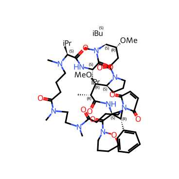 CC[C@H](C)[C@@H]([C@@H](CC(=O)N1CCC[C@H]1[C@H](OC)[C@@H](C)C(=O)N[C@@]1(C(=O)N2CCCCO2)C[C@@H]1c1ccccc1)OC)N(C)C(=O)[C@@H](NC(=O)[C@H](C(C)C)N(C)CCCC(=O)N(C)CCN(C)C(=O)CCCN1C(=O)C=CC1=O)C(C)C